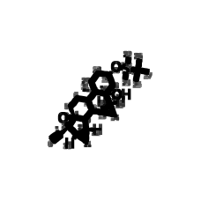 C#C[C@@]12O[C@@]13CCC1C(C3[C@@H]3C[C@@H]32)[C@H]2C[C@H]2[C@]2(O)C[C@@H](O[Si](C)(C)C(C)(C)C)CC[C@]12C